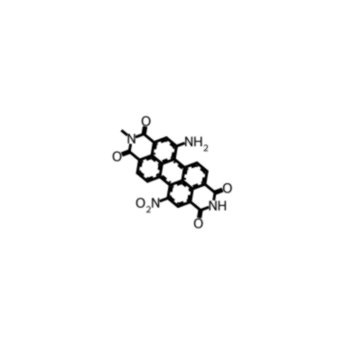 CN1C(=O)c2ccc3c4c([N+](=O)[O-])cc5c6c(ccc(c7c(N)cc(c2c37)C1=O)c64)C(=O)NC5=O